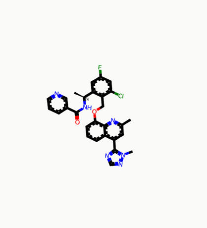 Cc1cc(-c2ncnn2C)c2cccc(OCc3c(Cl)cc(F)cc3[C@H](C)NC(=O)c3cccnc3)c2n1